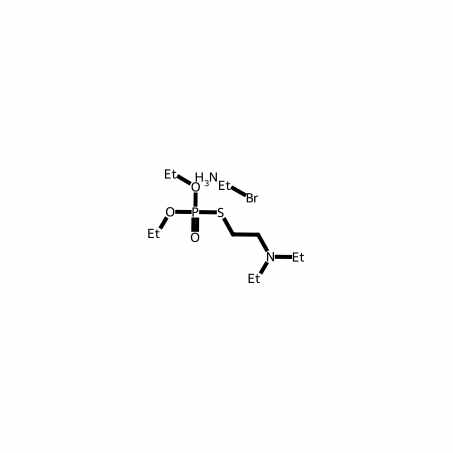 CCBr.CCOP(=O)(OCC)SCCN(CC)CC.N